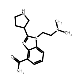 CN(C)CCn1c(C2CCNC2)nc2c(C(N)=O)cccc21